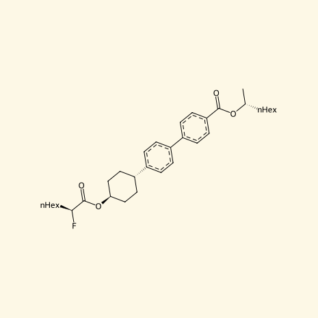 CCCCCC[C@@H](C)OC(=O)c1ccc(-c2ccc([C@H]3CC[C@H](OC(=O)[C@@H](F)CCCCCC)CC3)cc2)cc1